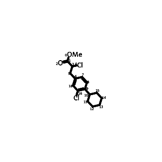 COC(=O)C(Cl)Cc1ccc(C2CCCCC2)c(Cl)c1